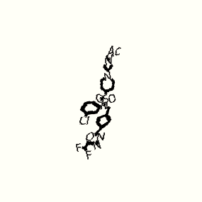 CC(=O)N1CC(N2CCC(S(=O)(=O)N(Cc3ccc(-c4nnc(C(F)F)o4)cc3)c3cccc(Cl)c3)CC2)C1